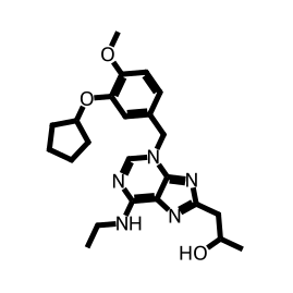 CCNc1ncn(Cc2ccc(OC)c(OC3CCCC3)c2)c2nc(CC(C)O)nc1-2